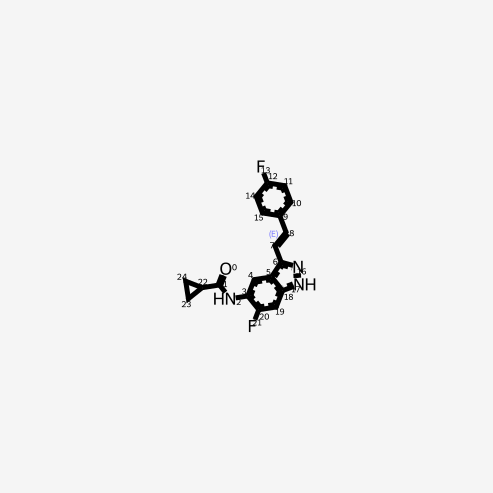 O=C(Nc1cc2c(/C=C/c3ccc(F)cc3)n[nH]c2cc1F)C1CC1